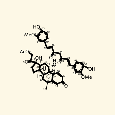 CC(=O)OCC(=O)[C@@]1(O)CC[C@H]2[C@@H]3C[C@H](C)C4=CC(=O)C=C[C@]4(C)[C@H]3[C@@H](O)C[C@@]21C.COc1cc(/C=C/C(=O)CC(=O)/C=C/c2ccc(O)c(OC)c2)ccc1O